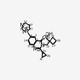 O=c1c2cc(N3CCN4CCC3CC4)ccc2nc(C2CC2)n1CC1(CO)CCC1